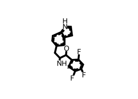 NC1Cc2ccc3[nH]ccc3c2OC1c1cc(F)c(F)cc1F